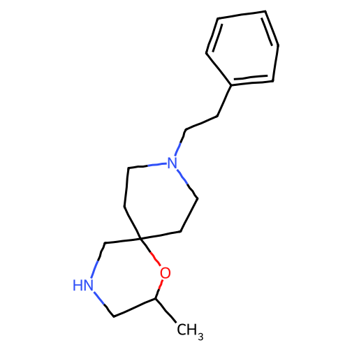 CC1CNCC2(CCN(CCc3ccccc3)CC2)O1